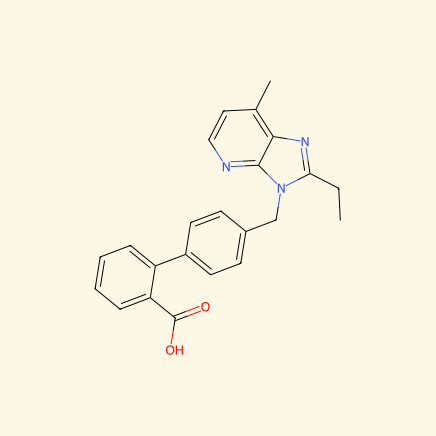 CCc1nc2c(C)ccnc2n1Cc1ccc(-c2ccccc2C(=O)O)cc1